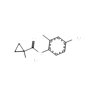 COc1ccc(NC(=O)C2(C(=O)O)CC2)c(C)c1